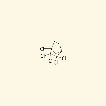 ClC12CCC(C1)C(Cl)(Cl)C2(Cl)Cl